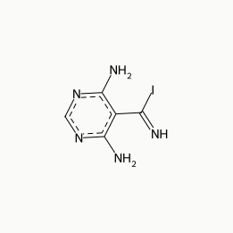 N=C(I)c1c(N)ncnc1N